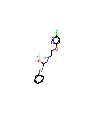 Cl.OC(CNCCOc1ccc(Cl)nn1)COc1ccccc1